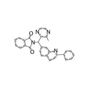 Cc1nccnc1C(c1ccc2ccc(-c3ccccc3)nc2c1)N1C(=O)c2ccccc2C1=O